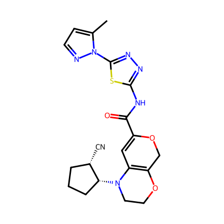 Cc1ccnn1-c1nnc(NC(=O)C2=CC3=C(CO2)OCCN3[C@@H]2CCC[C@@H]2C#N)s1